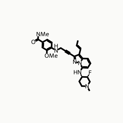 C/C=C/c1c(C#CCNc2ccc(C(=O)NC)cc2OC)nn2c(N[C@@H]3CCN(C)C[C@@H]3F)cccc12